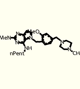 CCCCCNc1nc(NC)nc2ccn(Cc3ccc(CN4CCN(C)CC4)cc3OC)c12